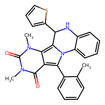 Cc1ccccc1-c1c2c(=O)n(C)c(=O)n(C)c2c2n1-c1ccccc1NC2c1cccs1